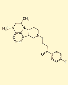 CC1CN(C)c2cccc3c2N1C1CCN(CCCC(=O)c2ccc(F)cc2)CC31